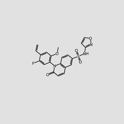 C=Cc1cc(OC)c(-n2c(=O)ccc3cc(S(=O)(=O)Nc4ccon4)ccc32)cc1F